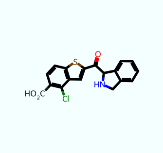 O=C(O)c1ccc2sc(C(=O)C3NCc4ccccc43)cc2c1Cl